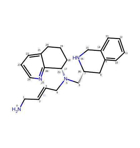 NC/C=C/CN(C[C@H]1Cc2ccccc2CN1)[C@H]1CCCc2cccnc21